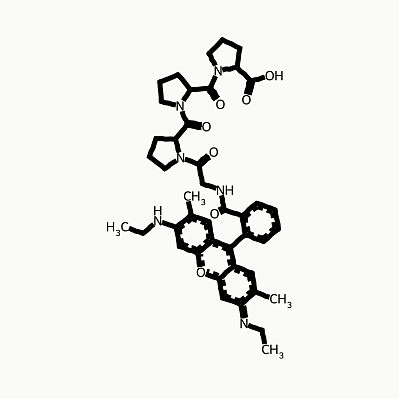 CC/N=c1/cc2oc3cc(NCC)c(C)cc3c(-c3ccccc3C(=O)NCC(=O)N3CCCC3C(=O)N3CCCC3C(=O)N3CCCC3C(=O)O)c-2cc1C